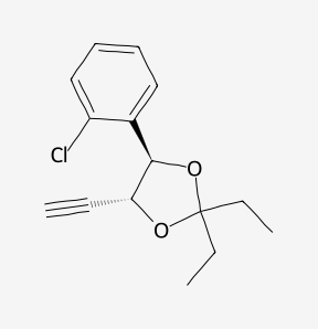 C#C[C@H]1OC(CC)(CC)O[C@@H]1c1ccccc1Cl